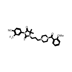 COc1ccccc1C(=O)N1CCN(CCCN2C(=S)N(c3ccc(C#N)c(C(F)(F)F)c3)C(=O)C2(C)C)CC1